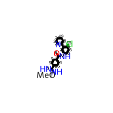 CONC(=N)c1ccc(C(=O)Nc2ccc(Cl)c(-c3ccccn3)c2)cc1